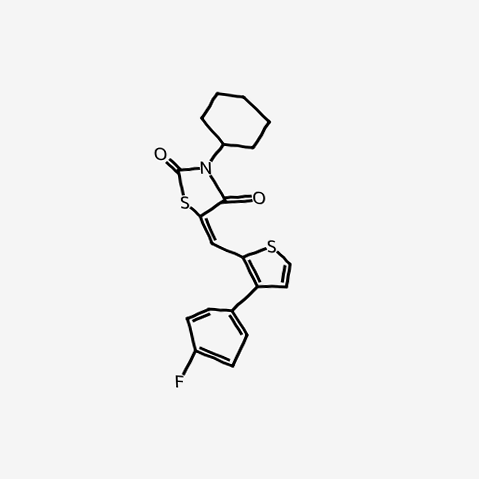 O=C1SC(=Cc2sccc2-c2ccc(F)cc2)C(=O)N1C1CCCCC1